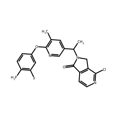 Cc1cc(C(C)N2Cc3c(ccnc3Cl)C2=O)cnc1Oc1ccc(P)c(F)c1